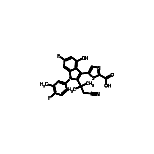 Cc1cc(-n2c(C(C)(C)CC#N)c(-c3cnc(C(=O)O)s3)c3c(O)cc(F)cc32)ccc1F